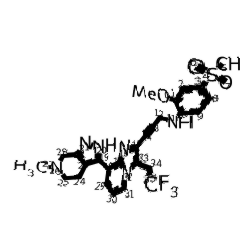 COc1cc(S(C)(=O)=O)ccc1NCC#Cc1nc2c(-c3[nH]nc4c3CCN(C)C4)cccn2c1CC(F)(F)F